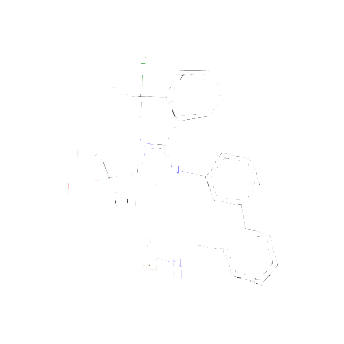 CC(C)(O)c1cn(-c2cccc(-c3ccccc3CN[SH](=O)=O)c2)c(-c2ccccc2C(F)(F)F)n1